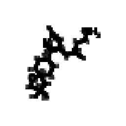 CN(CCN)Cc1cn(C)nc1[C@H]1CC[C@@]2(CC1)CC(C)(C)CO2